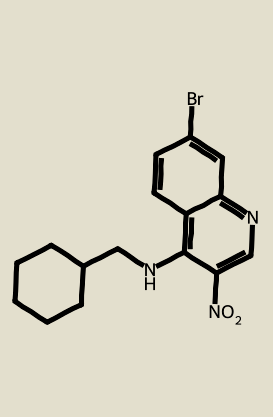 O=[N+]([O-])c1cnc2cc(Br)ccc2c1NCC1CCCCC1